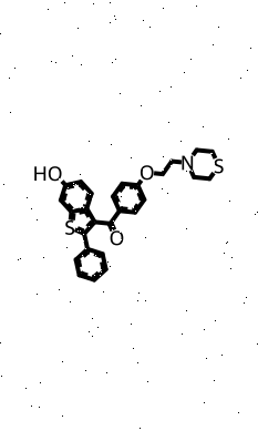 O=C(c1ccc(OCCN2CCSCC2)cc1)c1c(-c2ccccc2)sc2cc(O)ccc12